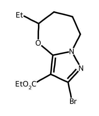 CCOC(=O)c1c(Br)nn2c1OC(CC)CCC2